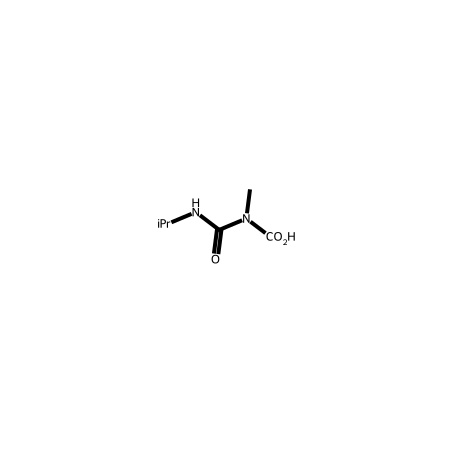 CC(C)NC(=O)N(C)C(=O)O